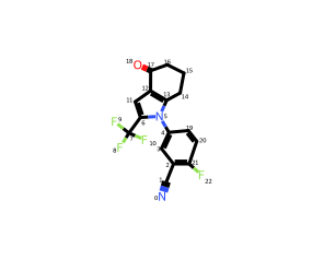 N#Cc1cc(-n2c(C(F)(F)F)cc3c2CCCC3=O)ccc1F